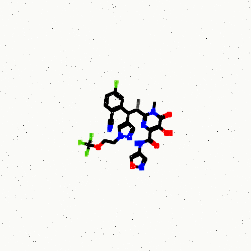 C[C@H](c1nc(C(=O)Nc2cnoc2)c(O)c(=O)n1C)[C@H](c1cnn(CCOC(F)(F)F)c1)c1cc(F)ccc1C#N